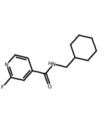 O=C(NCC1CCCCC1)c1ccnc(F)c1